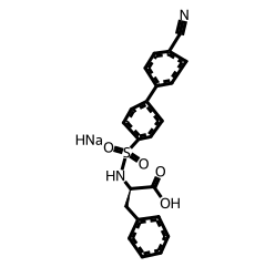 N#Cc1ccc(-c2ccc(S(=O)(=O)N[C@H](Cc3ccccc3)C(=O)O)cc2)cc1.[NaH]